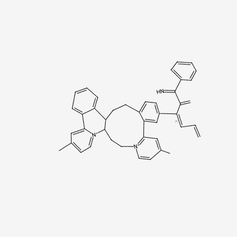 C=C/C=C(\C(=C)C(=N)c1ccccc1)c1ccc2c(c1)-c1cc(C)cc[n+]1CCC1C(CC2)c2ccccc2-c2cc(C)cc[n+]21